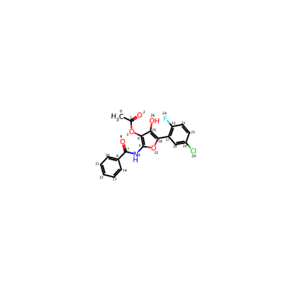 CC(=O)Oc1c(NC(=O)c2ccccc2)oc(-c2cc(Cl)ccc2F)c1O